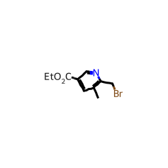 CCOC(=O)c1cnc(CBr)c(C)c1